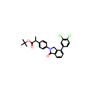 CC(C(=O)OC(C)(C)C)c1ccc(N2Cc3c(cccc3-c3ccc(Cl)c(Cl)c3)C2=O)cc1